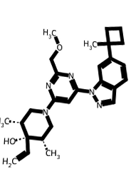 C=C[C@@]1(O)[C@H](C)CN(c2cc(-n3ncc4ccc(C5(C)CCC5)cc43)nc(COC)n2)C[C@@H]1C